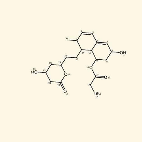 CC1C=CC2=CC(O)CC(OC(=O)CC(C)(C)C)C2C1CCC1CC(O)CC(=O)O1